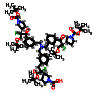 CC(C)(C)OCC(F)(C(=O)c1cccc(CN(Cc2cccc(CC(F)(C(=O)OC(C)(C)C)[C@H]3CCN(C(=O)O)C3)c2)Cc2cccc(C(=O)C(F)(COC(C)(C)C)[C@H]3CCN(C(=O)OC(C)(C)C)C3)c2)c1)[C@H]1CCN(C(=O)OC(C)(C)C)C1